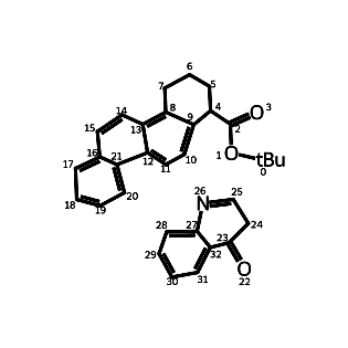 CC(C)(C)OC(=O)C1CCCc2c1ccc1c2ccc2ccccc21.O=C1CC=Nc2ccccc21